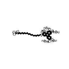 CCCCOc1cc2c3cc(OCCCC)c(OCCCC)cc3c3cc(SCCCCCCCCCCCCCCCCCC[Si](Cl)(Cl)Cl)c(OCCCC)cc3c2cc1OCCCC